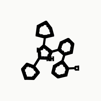 Clc1ccccc1-c1ccccc1-c1[nH]c(-c2ccccc2)nc1-c1ccccc1